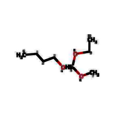 CCCCO[SiH](OC)OCC